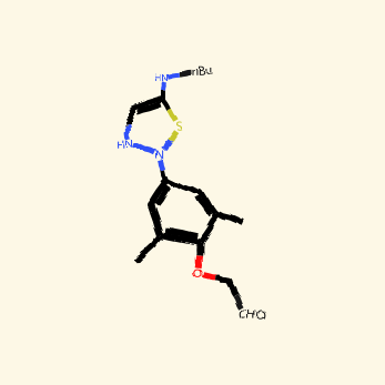 CCCCNC1=CNN(c2cc(C)c(OCC=O)c(C)c2)S1